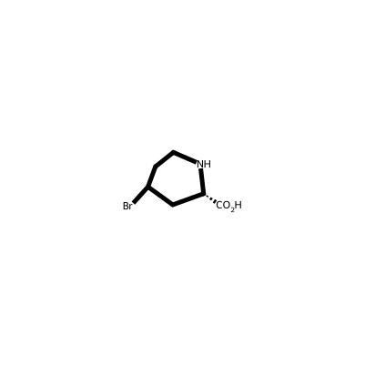 O=C(O)[C@@H]1CC(Br)CCN1